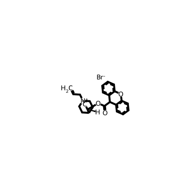 C=CC[N+]12CCC(CC1)[C@@H](OC(=O)C1c3ccccc3Oc3ccccc31)C2.[Br-]